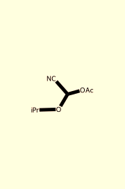 CC(=O)O[C](C#N)OC(C)C